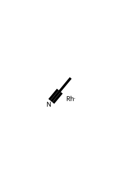 CC#N.[Rh]